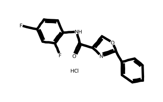 Cl.O=C(Nc1ccc(F)cc1F)c1coc(-c2ccccc2)n1